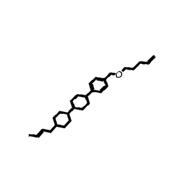 C=CCCCOCc1ccc(C2CCC(C3CCC(CC=CC)CC3)CC2)cc1